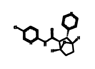 O=C(Nc1ccc(Cl)cn1)[C@H]1[C@H](c2ccncc2)[C@@H]2CC[C@H]1O2